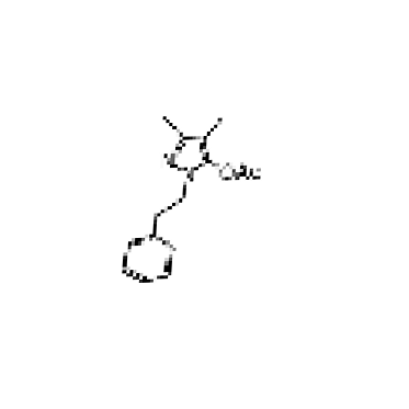 CC(=O)Oc1c(C)c(C)nn1CCc1ccccc1